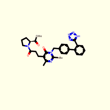 CCCCc1nc(C)c(CCC(=O)N2CCC[C@H]2C(=O)OC)c(=O)n1Cc1ccc(-c2ccccc2-c2nnn[nH]2)cc1